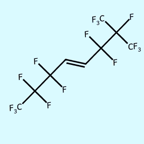 FC(F)(F)C(F)(F)C(F)(F)C=CC(F)(F)C(F)(C(F)(F)F)C(F)(F)F